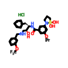 CC(C)Oc1cc(C(=O)N[C@@H](Cc2ccccc2)[C@H](O)CNCc2cccc(OC(F)(F)F)c2)cc(N2CCCS2(O)O)c1.Cl